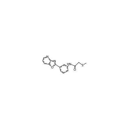 CSCC(=O)Nc1cccc(-c2nc3ncccc3o2)c1